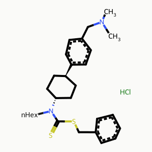 CCCCCCN(C(=S)SCc1ccccc1)[C@H]1CC[C@H](c2ccc(CN(C)C)cc2)CC1.Cl